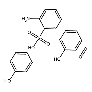 C=O.Nc1ccccc1S(=O)(=O)O.Oc1ccccc1.Oc1ccccc1